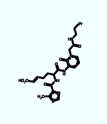 Cc1scnc1C(=O)NC(CCC=CC(=O)O)C(=O)Nc1cccn(CC(=O)NCCC(C)C)c1=O